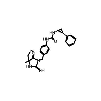 CC(C)CC1(C)NC(=N)N(Cc2ccc(NC(=O)N[C@@H]3C[C@H]3c3ccccc3)cc2)C1=O